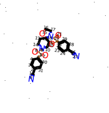 N#Cc1ccc(S(=O)(=O)N2CCC3(CC2)OCCN3S(=O)(=O)c2ccc(C#N)cc2)cc1